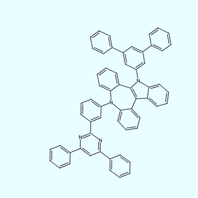 c1ccc(-c2cc(-c3ccccc3)cc(-n3c4c(c5ccccc53)-c3ccccc3N(c3cccc(-c5nc(-c6ccccc6)cc(-c6ccccc6)n5)c3)c3ccccc3-4)c2)cc1